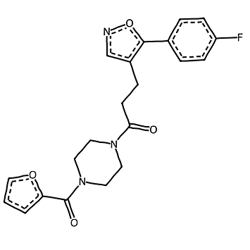 O=C(CCc1cnoc1-c1ccc(F)cc1)N1CCN(C(=O)c2ccco2)CC1